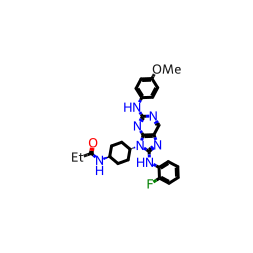 CCC(=O)N[C@H]1CC[C@H](n2c(Nc3ccccc3F)nc3cnc(Nc4ccc(OC)cc4)nc32)CC1